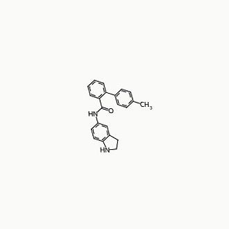 Cc1ccc(-c2ccccc2C(=O)Nc2ccc3c(c2)CCN3)cc1